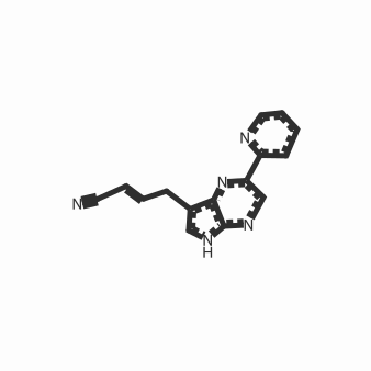 N#CC=CCc1c[nH]c2ncc(-c3ccccn3)nc12